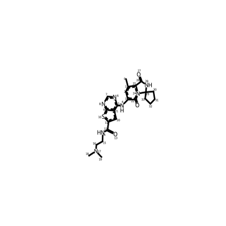 Cc1cc(Nc2ncnc3sc(C(=O)NCCN(C)C)cc23)c(=O)n2c1C(=O)NC21CCCC1